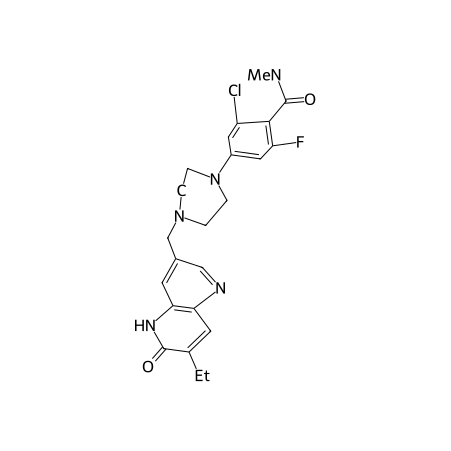 CCc1cc2ncc(CN3CCN(c4cc(F)c(C(=O)NC)c(Cl)c4)CC3)cc2[nH]c1=O